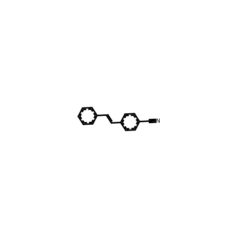 N#Cc1ccc(/C=C/c2ccccc2)cc1